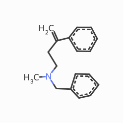 C=C(CCN(C)Cc1ccccc1)c1ccccc1